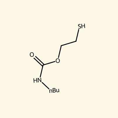 CCCCNC(=O)OCCS